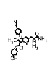 Cc1c(C(=O)CN2CCC(O)CC2)c2ncc(CC(N)C(N)=O)cc2n1-c1ccc(C#N)cc1